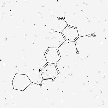 COc1cc(OC)c(Cl)c(-c2ccc3nc(NC4CCCCC4)ncc3c2)c1Cl